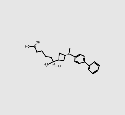 CN(c1ccc(-c2ccccc2)nc1)[C@H]1C[C@H]([C@@](N)(CCCCB(O)O)C(=O)O)C1